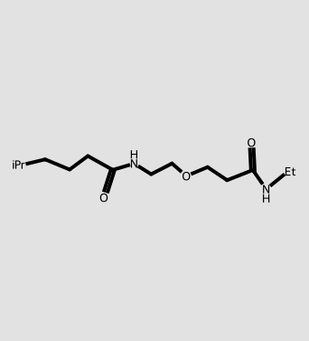 CCNC(=O)CCOCCNC(=O)CCCC(C)C